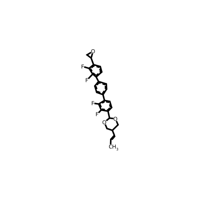 C/C=C/C1COC(c2ccc(-c3ccc(-c4ccc(C5CO5)c(F)c4F)cc3)c(F)c2F)OC1